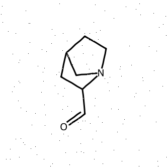 O=CC1CC2CCN1C2